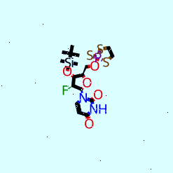 CC(C)(C)[Si](C)(C)OC1[C@@H](F)[C@H](n2ccc(=O)[nH]c2=O)O[C@@H]1COP1(=S)SCCS1